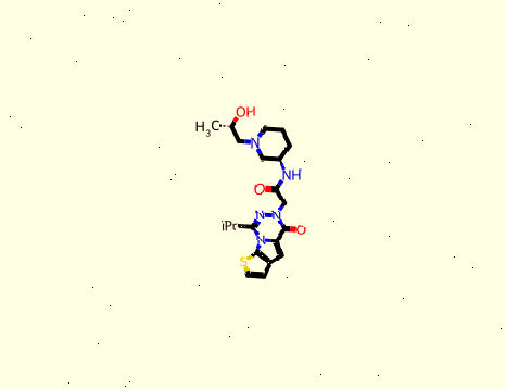 CC(C)c1nn(CC(=O)N[C@@H]2CCCN(C[C@H](C)O)C2)c(=O)c2cc3ccsc3n12